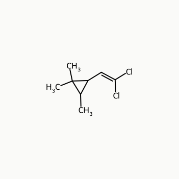 CC1C(C=C(Cl)Cl)C1(C)C